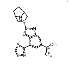 O[C@H](c1cc(-c2nccs2)c2oc(N3CC4CCC(C3)N4)nc2c1)C(F)(F)F